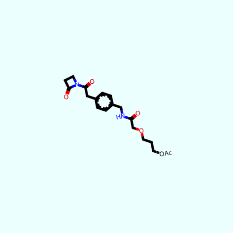 CC(=O)OCCCOCC(=O)NCc1ccc(CC(=O)N2CCC2=O)cc1